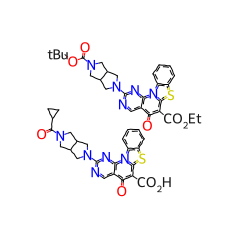 CCOC(=O)c1c(=O)c2cnc(N3CC4CN(C(=O)OC(C)(C)C)CC4C3)nc2n2c1sc1ccccc12.O=C(O)c1c(=O)c2cnc(N3CC4CN(C(=O)C5CC5)CC4C3)nc2n2c1sc1ccccc12